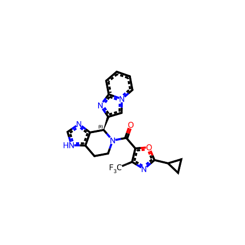 O=C(c1oc(C2CC2)nc1C(F)(F)F)N1CCc2[nH]cnc2[C@H]1c1cn2ccccc2n1